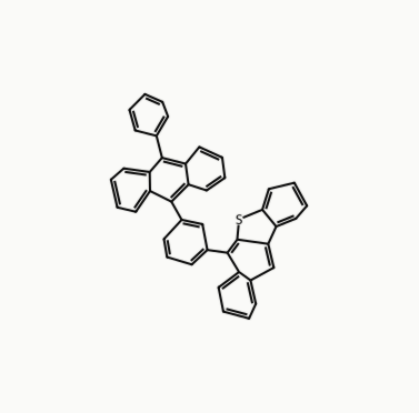 c1ccc(-c2c3ccccc3c(-c3cccc(-c4c5ccccc5cc5c4sc4ccccc45)c3)c3ccccc23)cc1